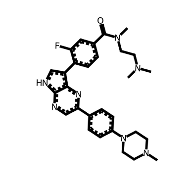 CN(C)CCN(C)C(=O)c1ccc(-c2c[nH]c3ncc(-c4ccc(N5CCN(C)CC5)cc4)nc23)c(F)c1